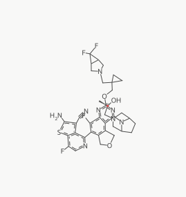 C[C@@H](O)CN1CC2CCC(C1)N2c1nc(OCC2(CN3CC4C(C3)C4(F)F)CC2)nc2c(F)c(-c3ncc(F)c4sc(N)c(C#N)c34)c3c(c12)COC3